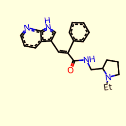 CCN1CCCC1CNC(=O)C(=Cc1c[nH]c2ncccc12)c1ccccc1